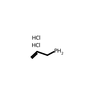 C=CCP.Cl.Cl